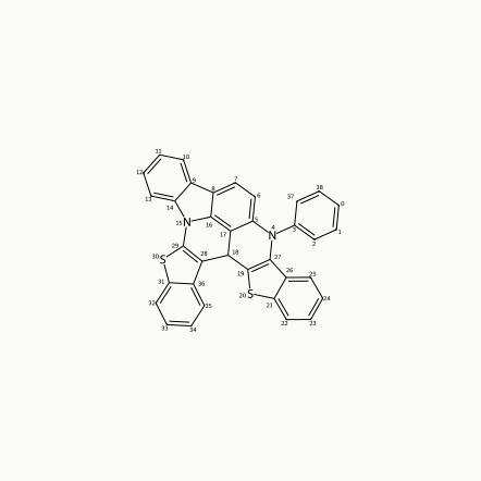 c1ccc(N2c3ccc4c5ccccc5n5c4c3C(c3sc4ccccc4c32)c2c-5sc3ccccc23)cc1